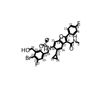 CNC(=O)c1c(-c2ccc(F)cc2)oc2cc(N(Cc3cc(F)c(Br)c(CO)c3)[SH](=O)=O)c(C3CC3)cc12